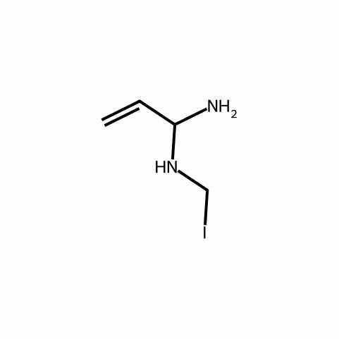 C=CC(N)NCI